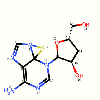 NC1=C2N=CN3SC23N(C2O[C@H](CO)C[C@H]2O)C=N1